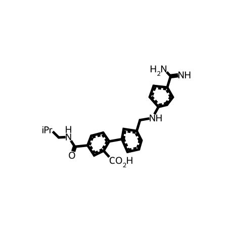 CC(C)CNC(=O)c1ccc(-c2cccc(CNc3ccc(C(=N)N)cc3)c2)c(C(=O)O)c1